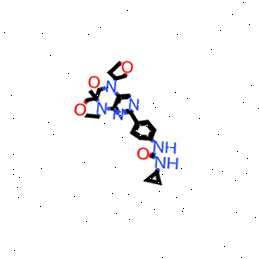 CC12COCCN1c1nc(-c3ccc(NC(=O)NC4CC4)cc3)ncc1N(C1CCOC1)C2=O